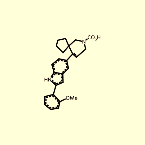 COc1ccccc1-c1cc2cc(C3=CCN(C(=O)O)CC34CCCC4)ccc2[nH]1